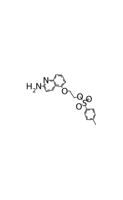 Cc1ccc(S(=O)(=O)OCCOc2cccc3nc(N)ccc23)cc1